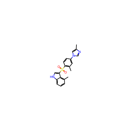 Cc1cn(-c2ccc(S(=O)(=O)c3c[nH]c4cccc(C)c34)c(C)c2)cn1